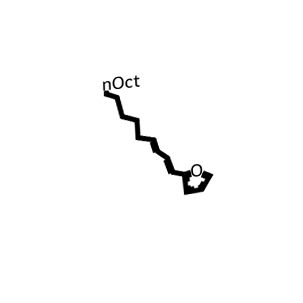 CCCCCCCCCCCCC/C=C/C=C/c1ccco1